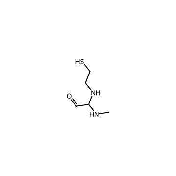 CNC(C=O)NCCS